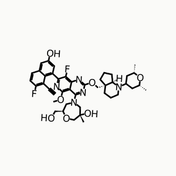 C#Cc1c(F)ccc2cc(O)cc(-c3nc(OC)c4c(N5C[C@H](CO)OC[C@@](C)(O)C5)nc(OC[C@]56CCC[C@H]5N(C5C[C@@H](C)O[C@@H](C)C5)CCC6)nc4c3F)c12